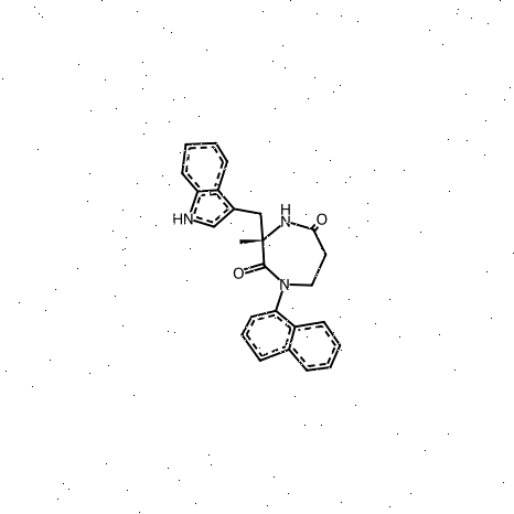 C[C@@]1(Cc2c[nH]c3ccccc23)NC(=O)CCN(c2cccc3ccccc23)C1=O